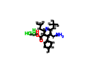 Cc1ccc(-c2c(CN)c(CC(C)(C)C)nc(CC(C)C)c2C(=O)O)cc1.Cl.Cl